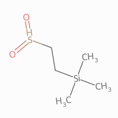 C[Si](C)(C)CC[SH](=O)=O